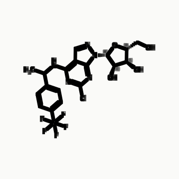 CC(Nc1nc(Cl)nc2c1cnn2[C@@H]1O[C@H](CO)[C@@H](O)[C@H]1O)c1ccc(S(F)(F)(F)(F)F)cc1